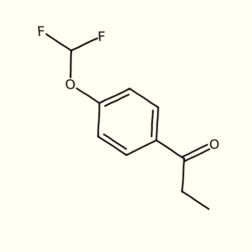 CCC(=O)c1ccc(OC(F)F)cc1